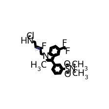 Cc1c(-c2cccc(S(=O)(=O)N(C)C)c2)c2cc(C(F)F)ccc2n1C/C(F)=C/CNCl